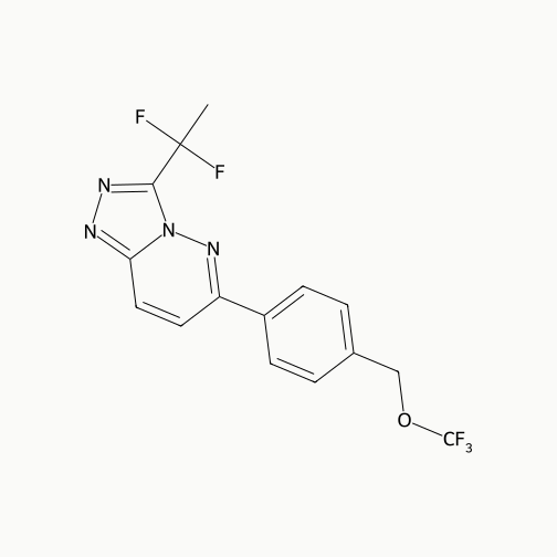 CC(F)(F)c1nnc2ccc(-c3ccc(COC(F)(F)F)cc3)nn12